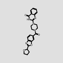 O=C(c1ccc2nc(C3CCCO3)oc2c1)N1CCN(c2nc3ccccc3c(=O)[nH]2)CC1